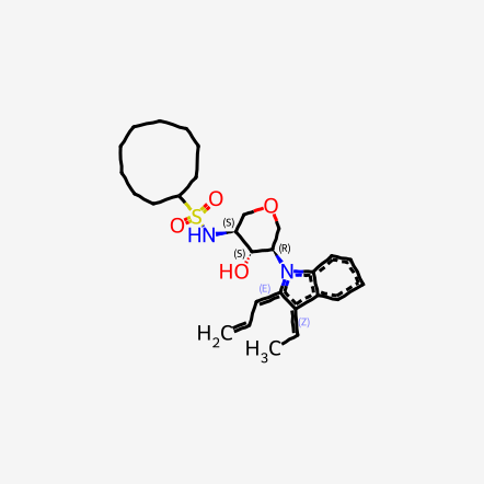 C=C/C=c1\c(=C/C)c2ccccc2n1[C@@H]1COC[C@H](NS(=O)(=O)C2CCCCCCCCC2)[C@H]1O